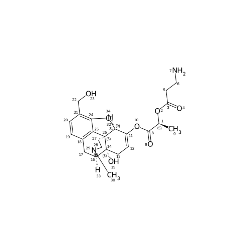 C[C@H](OC(=O)CCN)C(=O)OC1=CC[C@@]2(O)[C@H]3Cc4ccc(CO)c5c4[C@@]2(CCN3C)[C@H]1O5